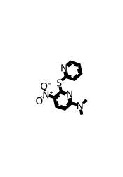 CN(C)c1ccc([N+](=O)[O-])c(Sc2ccccn2)n1